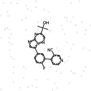 CC(C)(O)c1cnn2c(-c3ccc(F)c(-c4ccncc4C#N)c3)cnc2n1